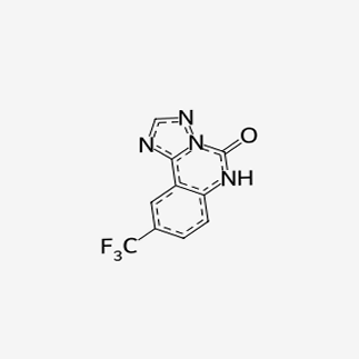 O=c1[nH]c2ccc(C(F)(F)F)cc2c2ncnn12